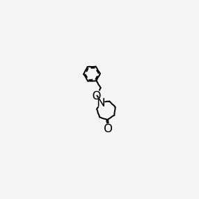 O=C1CCCN(OCc2ccccc2)CC1